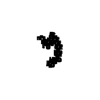 CCCc1nn(C)c2c(=O)[nH]c(-c3cc(CN4CCN(c5ncc(C(=O)NOC6CCCCO6)cn5)CC4)ccc3OCC)nc12